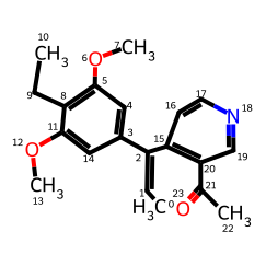 C/C=C(/c1cc(OC)c(CC)c(OC)c1)c1ccncc1C(C)=O